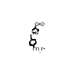 CCOC(=O)c1ccc(Cn2cc(C=O)cn2)cc1